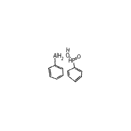 O=[PH](O)c1ccccc1.[AlH2][c]1ccccc1